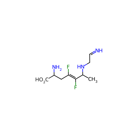 CC(NCC=N)C(F)=C(F)CC(N)C(=O)O